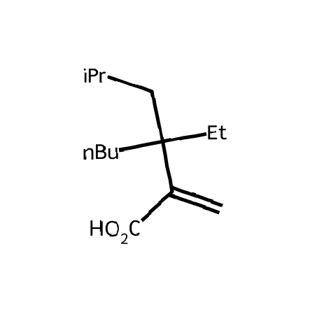 C=C(C(=O)O)C(CC)(CCCC)CC(C)C